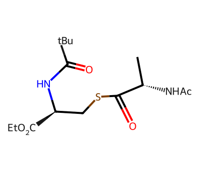 CCOC(=O)[C@H](CSC(=O)[C@H](C)NC(C)=O)NC(=O)C(C)(C)C